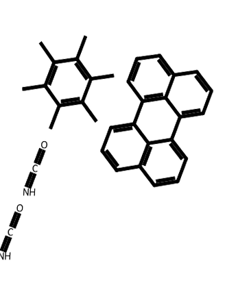 Cc1c(C)c(C)c(C)c(C)c1C.N=C=O.N=C=O.c1cc2cccc3c4cccc5cccc(c(c1)c23)c54